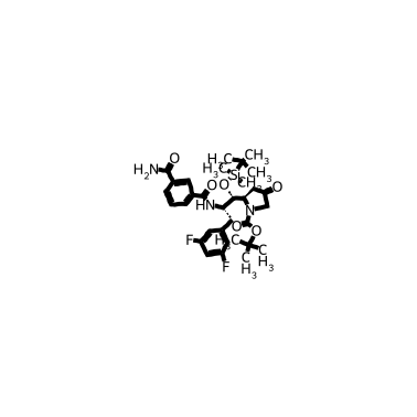 CC(C)(C)OC(=O)N1CC(=O)C[C@@H]1[C@@H](O[Si](C)(C)C(C)(C)C)[C@H](Cc1cc(F)cc(F)c1)NC(=O)c1cccc(C(N)=O)c1